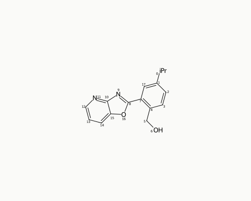 CC(C)c1ccc(CO)c(-c2nc3ncccc3o2)c1